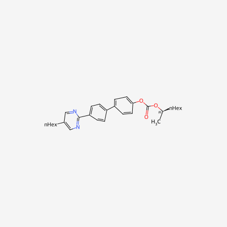 CCCCCCc1cnc(-c2ccc(-c3ccc(OC(=O)O[C@H](C)CCCCCC)cc3)cc2)nc1